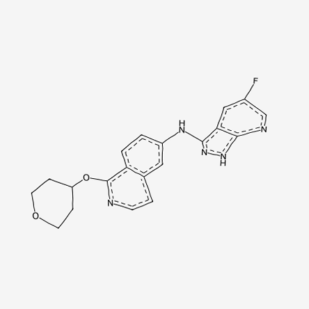 Fc1cnc2[nH]nc(Nc3ccc4c(OC5CCOCC5)nccc4c3)c2c1